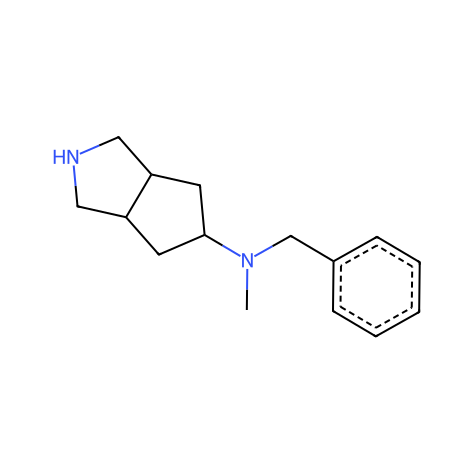 CN(Cc1ccccc1)C1CC2CNCC2C1